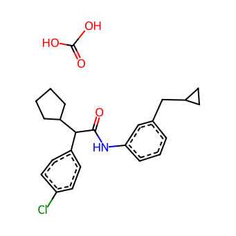 O=C(Nc1cccc(CC2CC2)c1)C(c1ccc(Cl)cc1)C1CCCC1.O=C(O)O